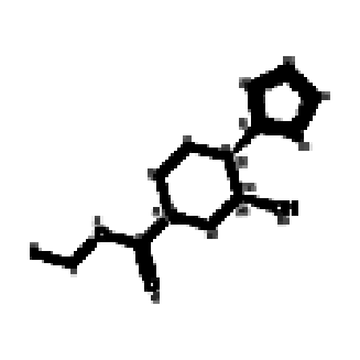 CCOC(=O)N1CC[C@H](c2cccs2)[C@@H](O)C1